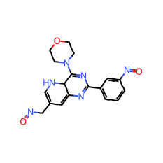 O=NCC1=CNC2C(=C1)N=C(c1cccc(N=O)c1)N=C2N1CCOCC1